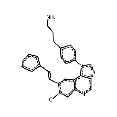 NCCCc1ccc(-n2cnc3cnc4cc(Cl)c(C=Cc5ccccc5)cc4c32)cc1